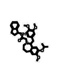 COc1ccc(CC2c3cc(OC(C)C)c(OC)cc3CCCN2CC(=O)NC2CCc3ccccc32)cc1OC